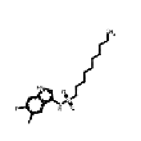 CCCCCCCCCCS(=O)(=O)Nc1c[nH]c2cc(F)c(F)cc12